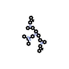 CC1(C)c2ccccc2-c2ccc(-n3c4ccccc4c4cc(-c5ccc6c7ccc(-c8ccc9c(c8)c8ccccc8n9-c8ccc9c(c8)C(C)(C)c8ccccc8-9)cc7n(-c7ccc(-c8nc(-c9ccccc9)cc(-c9ccccc9)n8)cc7)c6c5)ccc43)cc21